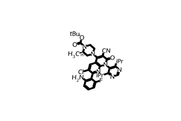 CC(C)c1ncnc(C(C)C)c1-n1c(=O)c(C#N)c(N2CCN(C(=O)OC(C)(C)C)[C@H](C)C2)c2cc(Cl)c(-c3c(N)cccc3F)nc21